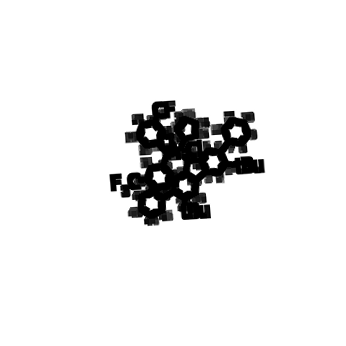 CC(C)(C)c1cc2c(cc1-c1ccccc1)[CH]([Zr]([Cl])([Cl])(=[C](c1cccc(C(F)(F)F)c1)c1cccc(C(F)(F)F)c1)[CH]1C=CC=C1)c1cc(-c3ccccc3)c(C(C)(C)C)cc1-2